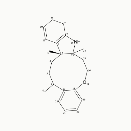 CC1CC[C@]2(C)C3=C(CCC=C3)NC2(C)CCOc2ccccc21